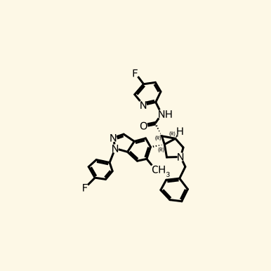 Cc1cc2c(cnn2-c2ccc(F)cc2)cc1[C@@]12CN(Cc3ccccc3)C[C@@H]1[C@H]2C(=O)Nc1ccc(F)cn1